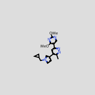 COc1ncc(-c2cc(-c3ccn(CC4CC4)c3)c(C)nn2)c(OC)n1